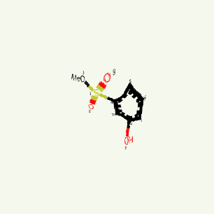 COS(=O)(=O)c1cc[c]c(O)c1